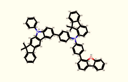 CC1(C)c2ccccc2-c2cc3c4cc(-c5ccc(N(c6ccc(-c7cccc8c7oc7ccccc78)cc6)c6cccc7c6C(C)(C)c6ccccc6-7)cc5)ccc4n(-c4ccccc4)c3cc21